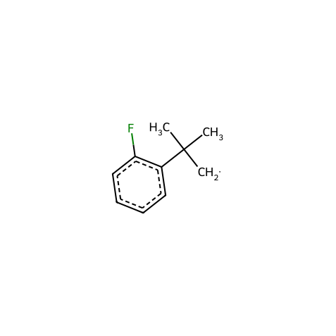 [CH2]C(C)(C)c1ccccc1F